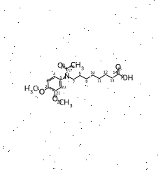 COc1ccc(N(CCCCCCCC(=O)O)C(C)=O)cc1OC